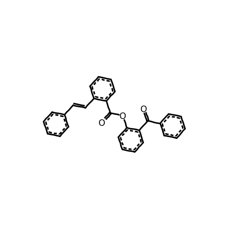 O=C(Oc1ccccc1C(=O)c1ccccc1)c1ccccc1C=Cc1ccccc1